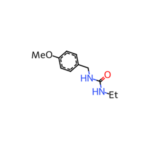 CCNC(=O)NCc1ccc(OC)cc1